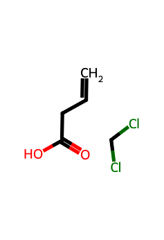 C=CCC(=O)O.ClCCl